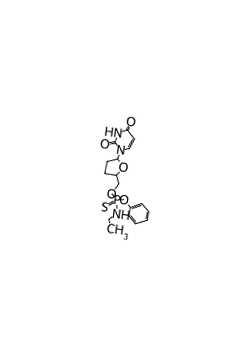 CCNP(=S)(OCC1CCC(n2ccc(=O)[nH]c2=O)O1)Oc1ccccc1